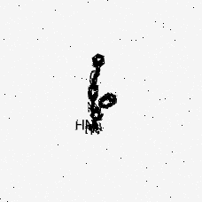 c1ccc(COc2ccc(-c3nc4cc(-c5nnn[nH]5)ccc4n3C3CCCCC3)cc2)cc1